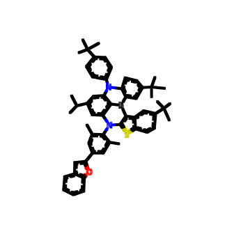 Cc1cc(-c2cc3ccccc3o2)cc(C)c1N1c2cc(C(C)C)cc3c2B(c2cc(C(C)(C)C)ccc2N3c2ccc(C(C)(C)C)cc2)c2c1sc1ccc(C(C)(C)C)cc21